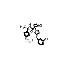 C[C@H](NC(=O)C1(N2CC[C@@H](Oc3cccc(Cl)c3)C2)CCC1)c1ccc(C(=O)O)cc1.Cl